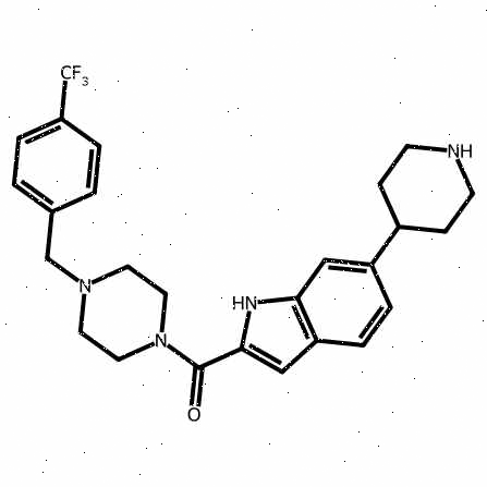 O=C(c1cc2ccc(C3CCNCC3)cc2[nH]1)N1CCN(Cc2ccc(C(F)(F)F)cc2)CC1